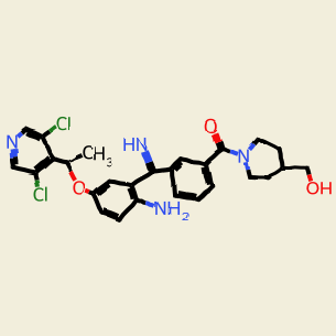 C[C@@H](Oc1ccc(N)c(C(=N)c2cccc(C(=O)N3CCC(CO)CC3)c2)c1)c1c(Cl)cncc1Cl